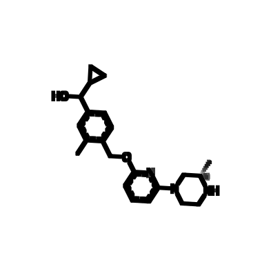 Cc1cc(C(O)C2CC2)ccc1COc1cccc(N2CCN[C@@H](C)C2)n1